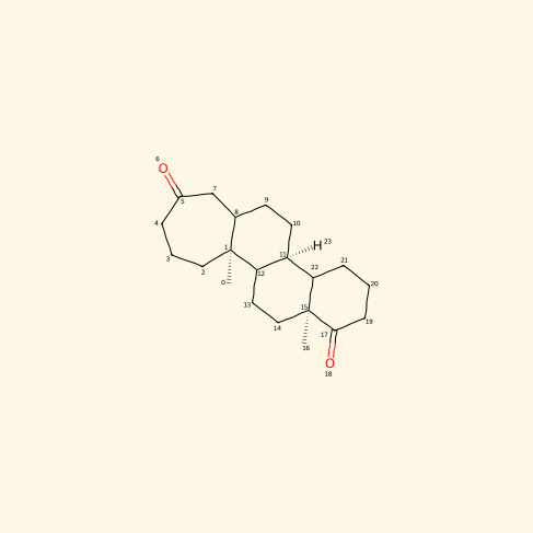 C[C@]12CCCC(=O)CC1CC[C@@H]1C2CC[C@]2(C)C(=O)CCCC12